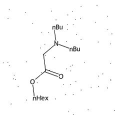 CCCCCCOC(=O)CN(CCCC)CCCC